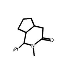 CC(C)C1C2CCCC2CC(=O)N1C